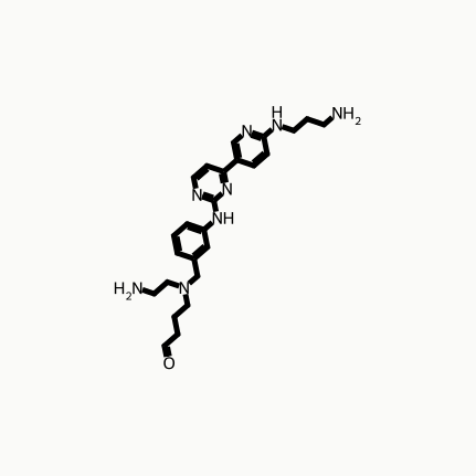 NCCCNc1ccc(-c2ccnc(Nc3cccc(CN(CCN)CCCC=O)c3)n2)cn1